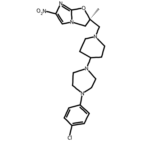 C[C@]1(CN2CCC(N3CCN(c4ccc(Cl)cc4)CC3)CC2)Cn2cc([N+](=O)[O-])nc2O1